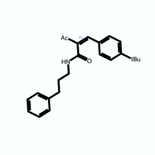 CC(=O)/C(=C/c1ccc(C(C)(C)C)cc1)C(=O)NCCCc1ccccc1